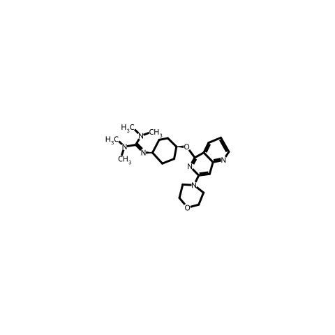 CN(C)C(=N[C@H]1CC[C@@H](Oc2nc(N3CCOCC3)cc3ncccc23)CC1)N(C)C